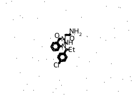 CCC(c1ccc(Cl)cc1)N1NN(CC(N)=O)C(=O)c2ccccc21